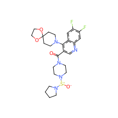 O=C(c1cnc2cc(F)c(F)cc2c1N1CCC2(CC1)OCCO2)N1CCN([S+]([O-])N2CCCC2)CC1